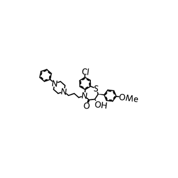 COc1ccc([C@@H]2Sc3cc(Cl)ccc3N(CCCN3CCN(c4ccccc4)CC3)C(=O)[C@@H]2O)cc1